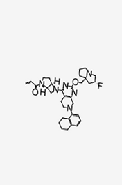 C=CC(=O)N1CC[C@@H]2[C@H]1CN2c1nc(OC[C@@]23CCCN2C[C@H](F)C3)nc2c1CCN(c1cccc3c1CCCC3)C2